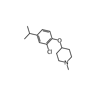 CC(C)c1ccc(OC2CCN(C)CC2)c(Cl)c1